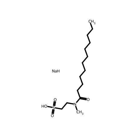 CCCCCCCCCCCC(=O)N(C)CCS(=O)(=O)O.[NaH]